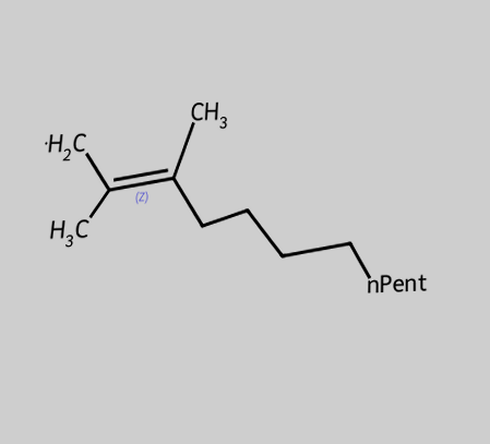 [CH2]/C(C)=C(\C)CCCCCCCCC